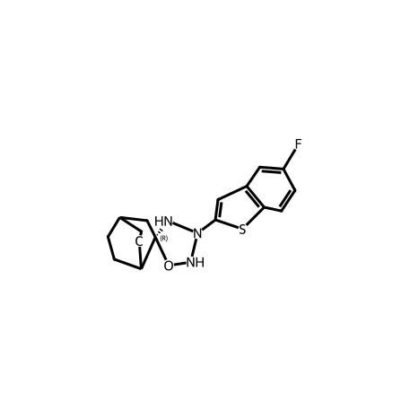 Fc1ccc2sc(N3NO[C@@]4(CC5CCC4CC5)N3)cc2c1